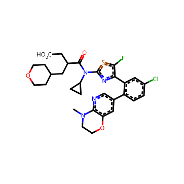 CN1CCOc2cc(-c3ccc(Cl)cc3-c3nc(N(C(=O)C(CC(=O)O)CC4CCOCC4)C4CC4)sc3F)cnc21